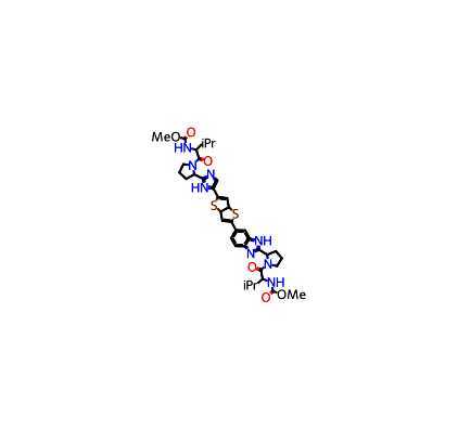 COC(=O)NC(C(=O)N1CCCC1c1ncc(C2=CC3SC(c4ccc5nc(C6CCCN6C(=O)C(NC(=O)OC)C(C)C)[nH]c5c4)=CC3S2)[nH]1)C(C)C